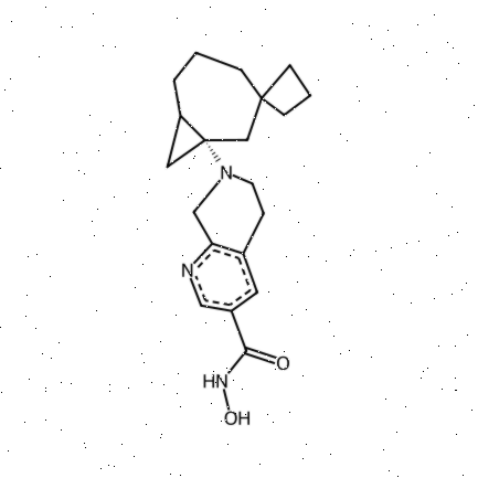 O=C(NO)c1cnc2c(c1)CCN([C@]13CC1CCCC1(CCC1)C3)C2